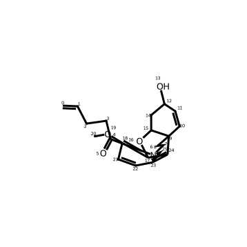 C=CCCC(=O)N1CCC23C=CC(O)CC2Oc2c(OC)ccc(c23)C1